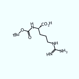 CC(C)(C)OC(=O)N[C@H](CCCNC(=N)N)C(=O)O